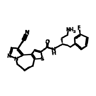 N#Cc1cnn2c1-c1cc(C(=O)N[C@H](CCN)Cc3cccc(F)c3)sc1CCC2